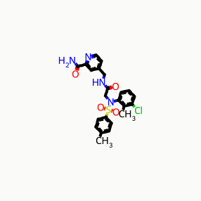 Cc1ccc(S(=O)(=O)N(CC(=O)NCc2ccnc(C(N)=O)c2)c2cccc(Cl)c2C)cc1